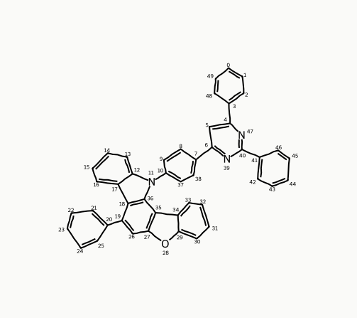 c1ccc(-c2cc(-c3ccc(-n4c5ccccc5c5c(-c6ccccc6)cc6oc7ccccc7c6c54)cc3)nc(-c3ccccc3)n2)cc1